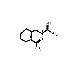 CC(=O)N1CCCCC1CNC(=N)N